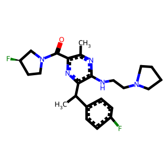 Cc1nc(NCCN2CCCC2)c(C(C)c2ccc(F)cc2)nc1C(=O)N1CC[C@@H](F)C1